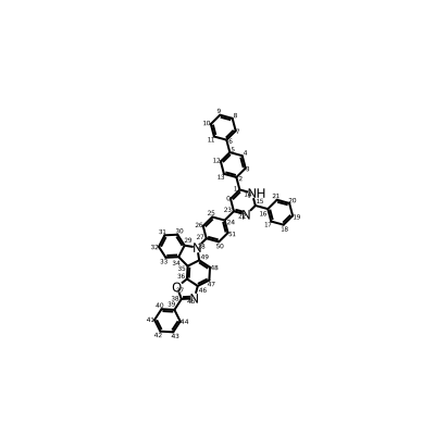 C1=C(c2ccc(-c3ccccc3)cc2)NC(c2ccccc2)N=C1c1ccc(-n2c3ccccc3c3c4oc(-c5ccccc5)nc4ccc32)cc1